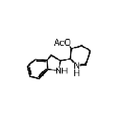 CC(=O)OC1CCCNC1C1Cc2ccccc2N1